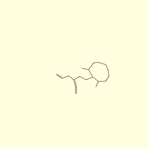 C=C=C(CC=C)CCC1C(C)CCCCCCC1C